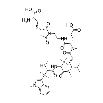 CN[C@H](C(=O)NC(C(=O)N(C)[C@H](/C=C(\C)C(=O)N[C@@H](CCC(=O)O)C(=O)NCCN1C(=O)CC(SC[C@H](N)C(=O)O)C1=O)C(C)C)C(C)(C)C)C(C)(C)c1cn(C)c2ccccc12